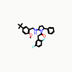 COc1ccc(C(C)(C)C)cc1CNC1CCC(c2ccccc2)N1C(=O)Cc1cc(F)ccc1F